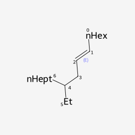 [CH2]CCCCC/C=C/CC(CC)CCCCCC[CH2]